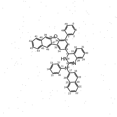 c1ccc(-c2cc(C3NC(N(c4ccccc4)c4ccc5ccccc5c4)=Nc4ccccc43)cc3c2oc2cc4ccccc4cc23)cc1